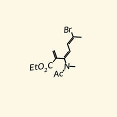 C=C(C(=O)OCC)/C(=C\C=C(/C)Br)N(C)C(C)=O